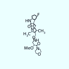 COC(CNOCc1c(C)[nH]c(/C=C2\C(=O)Nc3ccc(F)cc32)c1C)C(=O)N1CCOCC1